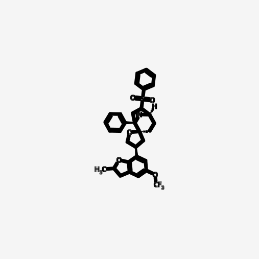 CC1Cc2cc(OC(F)(F)F)cc([C@H]3CO[C@]4(CC[C@H]5N[C@@]4(c4ccccc4)CC5S(=O)(=O)c4ccccc4)C3)c2O1